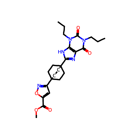 CCCn1c(=O)c2nc(C34CCC(c5cc(C(=O)OC)on5)(CC3)CC4)[nH]c2n(CCC)c1=O